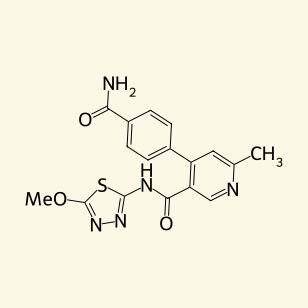 COc1nnc(NC(=O)c2cnc(C)cc2-c2ccc(C(N)=O)cc2)s1